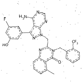 Cc1cccc2nc(Cn3nc(-c4cc(O)cc(F)c4)c4c(N)ncnc43)n(Cc3ccccc3C(F)(F)F)c(=O)c12